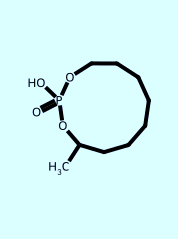 CC1CCCCCCCOP(=O)(O)O1